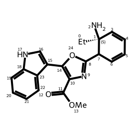 CC[C@]1(N)C=CC=CC1c1nc(C(=O)OC)c(-c2c[nH]c3ccccc23)o1